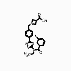 CCN(C(=O)C1C=CC=C(F)C1)c1nnc(-c2ccc(CN3CC(C(=O)O)C3)cc2)s1